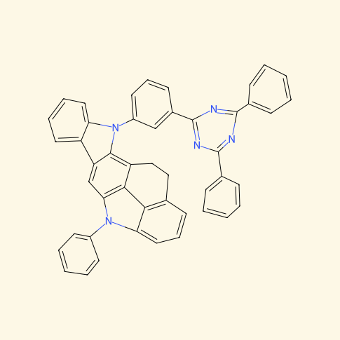 c1ccc(-c2nc(-c3ccccc3)nc(-c3cccc(-n4c5ccccc5c5cc6c7c(c54)CCc4cccc(c47)n6-c4ccccc4)c3)n2)cc1